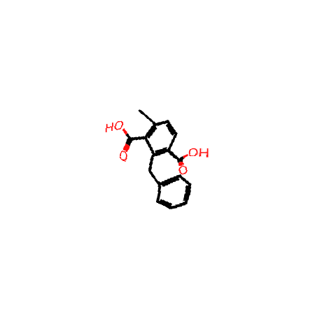 Cc1ccc(C(=O)O)c(Cc2ccccc2)c1C(=O)O